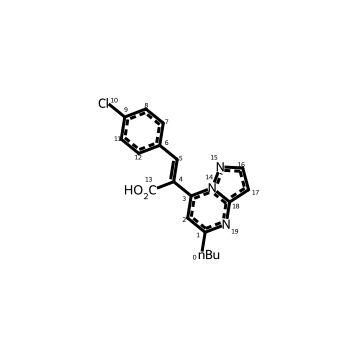 CCCCc1cc(C(=Cc2ccc(Cl)cc2)C(=O)O)n2nccc2n1